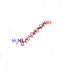 NOC(=O)CCOCCOCCOCCOCCO